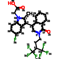 Cc1c(-c2cn(CCC(C(F)(F)F)C(F)(F)F)c(=O)c3ccccc23)c2cc(F)ccc2n1CC(=O)O